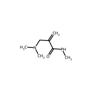 C=C(CN(C)C)C(=O)PC